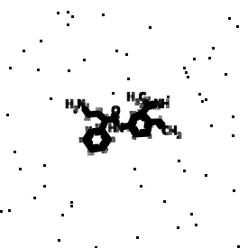 C=Cc1ccc(NC(=O)C(CCN)c2ccccc2)cc1C(C)=N